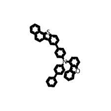 c1ccc(-c2ccc(N(c3ccc(-c4ccc5sc6c7ccccc7ccc6c5c4)cc3)c3cccc4oc5ccccc5c34)cc2)cc1